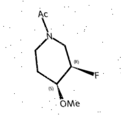 CO[C@H]1CCN(C(C)=O)C[C@H]1F